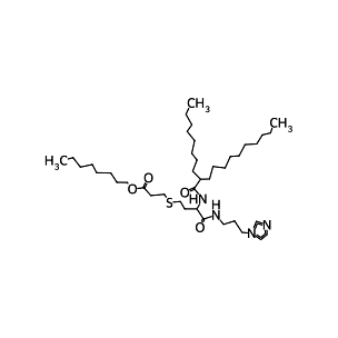 CCCCCCCCCCC(CCCCCCCC)C(=O)NC(CCSCCC(=O)OCCCCCCCC)C(=O)NCCCn1ccnc1